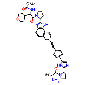 COC(=O)N[C@H](C(=O)N1CCC[C@H]1c1nc2ccc3cc(C#Cc4ccc(-c5cnc([C@@H]6CCCN6C(=O)[C@@H](N)C(C)C)[nH]5)cc4)ccc3c2[nH]1)C1CCOCC1